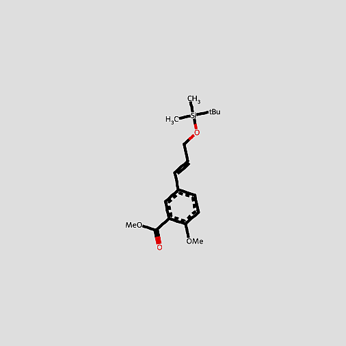 COC(=O)c1cc(/C=C/CO[Si](C)(C)C(C)(C)C)ccc1OC